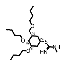 CCCCOC[C@H]1C[C@H](SC(=N)NC)C[C@@H](OCCCC)[C@@H]1OCCCC